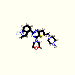 Cc1cc2c(-c3nc(N4CCOCC4)c4sc(CN5CCN(C)CC5)cc4n3)cccc2[nH]1